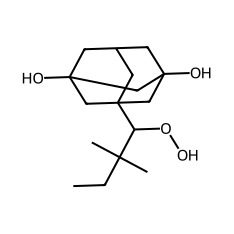 CCC(C)(C)C(OO)C12CC3CC(O)(CC(O)(C3)C1)C2